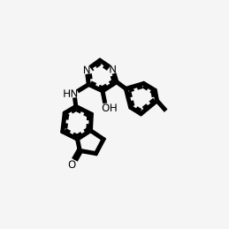 Cc1ccc(-c2ncnc(Nc3ccc4c(c3)CCC4=O)c2O)cc1